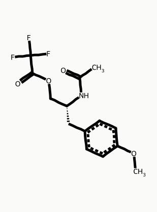 COc1ccc(C[C@H](COC(=O)C(F)(F)F)NC(C)=O)cc1